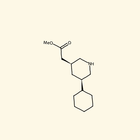 COC(=O)C[C@H]1CNC[C@@H](C2CCCCC2)C1